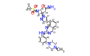 CN1CCN(c2cccc(Nc3ncc4cccc(-c5cnn(C6(CC(N)=O)CN(S(=O)(=O)C7CC7)C6)c5)c4n3)c2)CC1